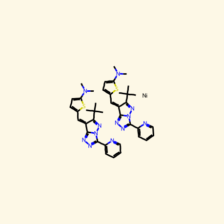 CN(C)c1ccc(C=c2c(C(C)(C)C)nn3c(-c4ccccn4)nnc23)s1.CN(C)c1ccc(C=c2c(C(C)(C)C)nn3c(-c4ccccn4)nnc23)s1.[Ni]